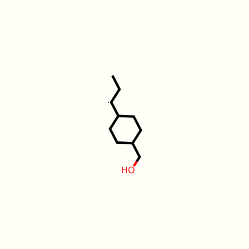 CC[CH]C1CCC(CO)CC1